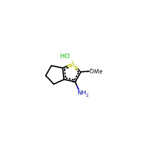 COc1sc2c(c1N)CCC2.Cl